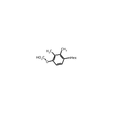 CCCCCCc1ccc(OC(=O)O)c(C)c1C